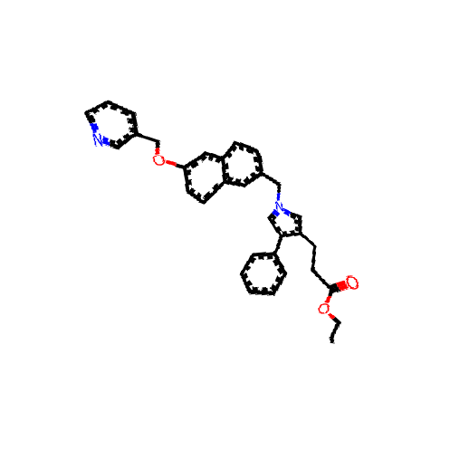 CCOC(=O)CCc1cn(Cc2ccc3cc(OCc4cccnc4)ccc3c2)cc1-c1ccccc1